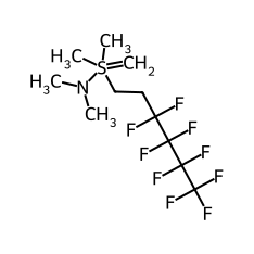 C=S(C)(C)(CCC(F)(F)C(F)(F)C(F)(F)C(F)(F)F)N(C)C